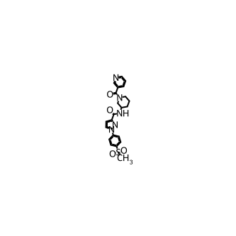 CS(=O)(=O)c1ccc(-n2ccc(C(=O)NC3CCCN(C(=O)c4cccnc4)C3)n2)cc1